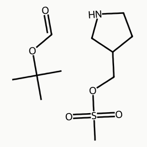 CC(C)(C)OC=O.CS(=O)(=O)OCC1CCNC1